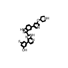 Oc1cc(F)cc(-c2ccnc3[nH]c(-c4n[nH]c5ccc(-c6cncc(OC7CCNCC7)c6)cc45)nc23)c1